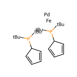 CC(C)(C)P(C1C=CC=C1)C(C)(C)C.CC(C)(C)P(C1C=CC=C1)C(C)(C)C.[Fe].[Pd]